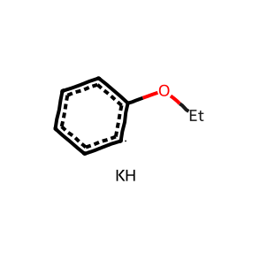 CCOc1[c]cccc1.[KH]